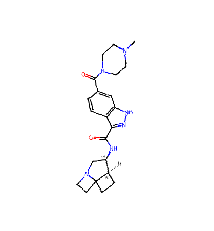 CN1CCN(C(=O)c2ccc3c(C(=O)N[C@@H]4CN5CCC56CC[C@H]46)n[nH]c3c2)CC1